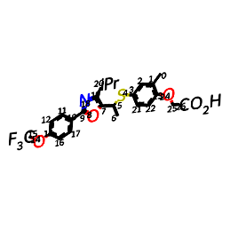 Cc1cc(SC(C)c2oc(-c3ccc(OC(F)(F)F)cc3)nc2C(C)C)ccc1OCC(=O)O